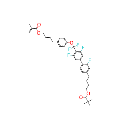 C=C(C)C(=O)OCCCCc1ccc(OC(F)(F)c2c(F)cc(-c3ccc(CCCCOC(=O)C(C)(C)C)cc3F)cc2F)cc1